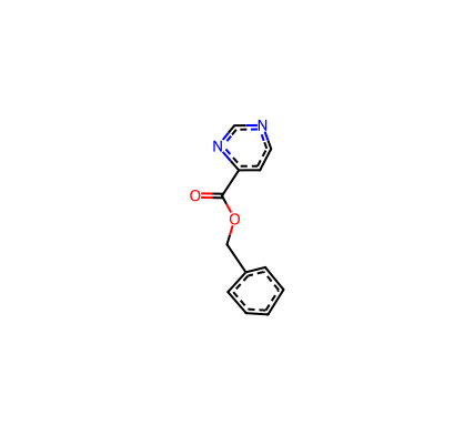 O=C(OCc1ccccc1)c1ccncn1